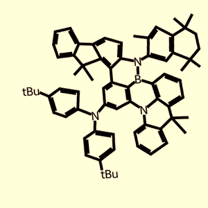 Cc1cc2c(cc1N1B3c4cccc5c4N(c4ccccc4C5(C)C)c4cc(N(c5ccc(C(C)(C)C)cc5)c5ccc(C(C)(C)C)cc5)cc(c43)-c3c1ccc1c3C(C)(C)c3ccccc3-1)C(C)(C)CCC2(C)C